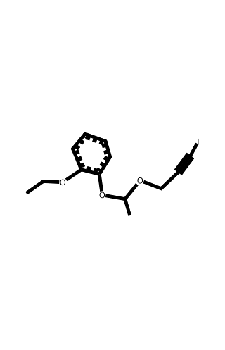 CCOc1ccccc1OC(C)OCC#CI